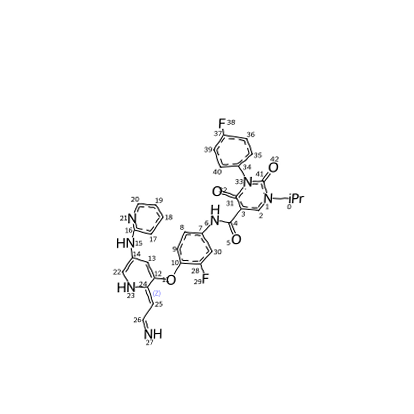 CC(C)n1cc(C(=O)Nc2ccc(OC3=CC(Nc4ccccn4)=CN/C3=C\C=N)c(F)c2)c(=O)n(-c2ccc(F)cc2)c1=O